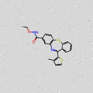 CCONC(=O)c1ccc2c(c1)N=C(c1sccc1C)c1ccccc1S2